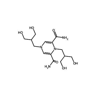 NC(=O)C1=CN(CC(CO)CO)C=C(C(N)=O)N1CC(CO)CO